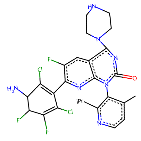 Cc1ccnc(C(C)C)c1-n1c(=O)nc(N2CCNCC2)c2cc(F)c(C3=C(Cl)C(N)C(F)C(F)=C3Cl)nc21